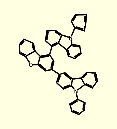 c1ccc(-n2c3ccccc3c3cc(-c4cc(-c5cccc6c5c5ccccc5n6-c5ccccc5)c5c(c4)oc4ccccc45)ccc32)cc1